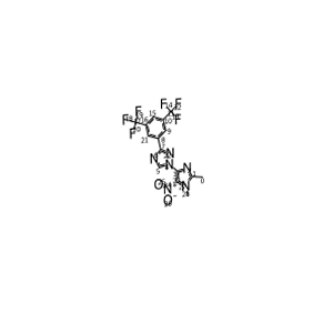 Cc1nc(-n2cnc(-c3cc(C(F)(F)F)cc(C(F)(F)F)c3)n2)c([N+](=O)[O-])n1C